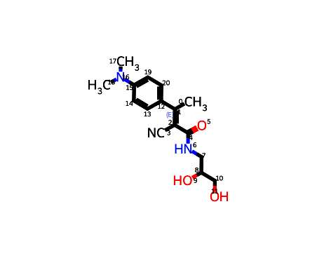 C/C(=C(/C#N)C(=O)NCC(O)CO)c1ccc(N(C)C)cc1